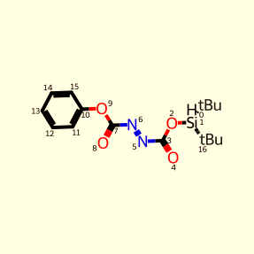 CC(C)(C)[SiH](OC(=O)N=NC(=O)Oc1ccccc1)C(C)(C)C